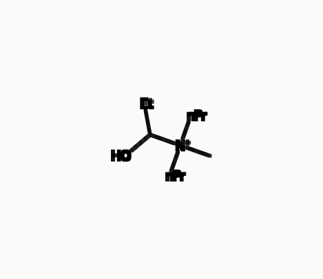 CCC[N+](C)(CCC)C(O)CC